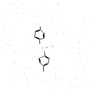 [CH2]c1ccc(N(C=O)Oc2ccc(Cl)cc2)cc1